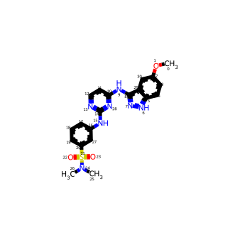 COc1ccc2[nH]nc(Nc3ccnc(Nc4cccc(S(=O)(=O)N(C)C)c4)n3)c2c1